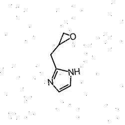 c1c[nH]c(CC2CO2)n1